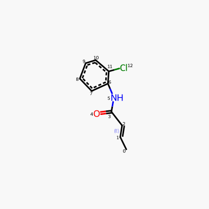 C/C=C/C(=O)Nc1ccccc1Cl